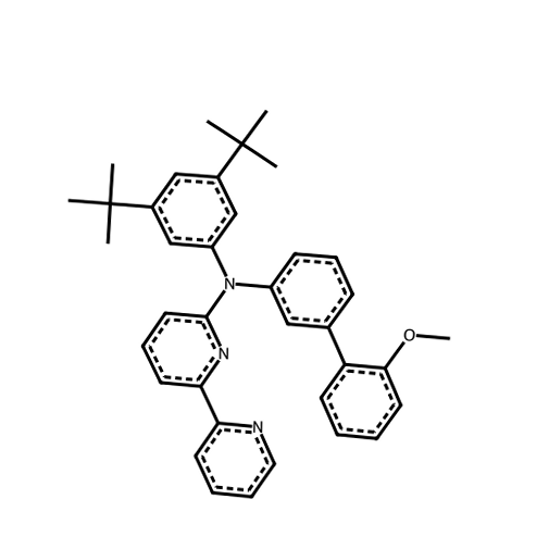 COc1ccccc1-c1cccc(N(c2cc(C(C)(C)C)cc(C(C)(C)C)c2)c2cccc(-c3ccccn3)n2)c1